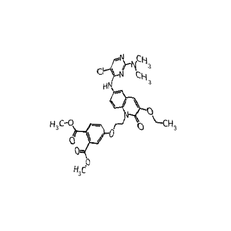 CCOc1cc2cc(Nc3nc(N(C)C)ncc3Cl)ccc2n(CCOc2ccc(C(=O)OC)c(C(=O)OC)c2)c1=O